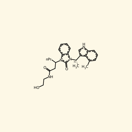 CCCC(CC(=O)NCCO)n1c(=O)n([C@@H](C)c2c[nH]c3cccc(C)c23)c2ccccc21